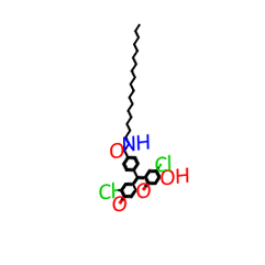 CCCCCCCCCCCCCCCCCCNC(=O)c1ccc(-c2c3cc(Cl)c(=O)cc-3oc3cc(O)c(Cl)cc23)cc1